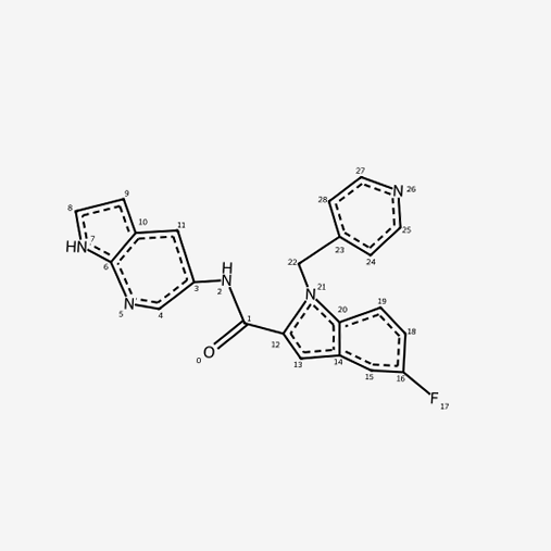 O=C(Nc1cnc2[nH]ccc2c1)c1cc2cc(F)ccc2n1Cc1ccncc1